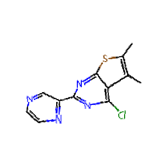 Cc1sc2nc(-c3cnccn3)nc(Cl)c2c1C